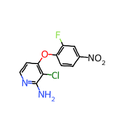 Nc1nccc(Oc2ccc([N+](=O)[O-])cc2F)c1Cl